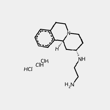 Cl.Cl.Cl.NCCN[C@H]1CCN2CCc3ccccc3[C@@H]2C1